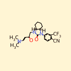 CN(C)C=CC(=O)CN1C(=O)N(c2ccc(C#N)c(C(F)(F)F)c2)[C@@H]2CCCC[C@H]21